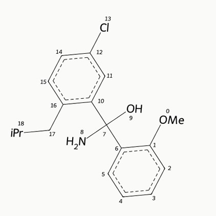 COc1ccccc1C(N)(O)c1cc(Cl)ccc1CC(C)C